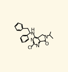 CC(C)N1Cc2c(NC(Cc3ccccc3)c3ccccc3)nc(Cl)nc2C1=O